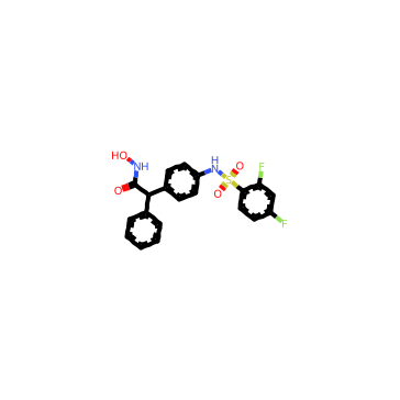 O=C(NO)C(c1ccccc1)c1ccc(NS(=O)(=O)c2ccc(F)cc2F)cc1